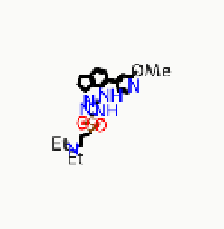 CCN(CC)CCCS(=O)(=O)c1nnc(Nc2c(-c3ccnc(OC)c3)ccc3c2CCC3)[nH]1